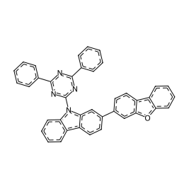 c1ccc(-c2nc(-c3ccccc3)nc(-n3c4ccccc4c4ccc(-c5ccc6c(c5)oc5ccccc56)cc43)n2)cc1